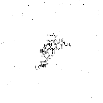 CN(C)C1CCC(Nc2nc(Cc3ccccc3)nc3[nH]c4cc(-c5nnn(C)n5)ccc4c23)CC1